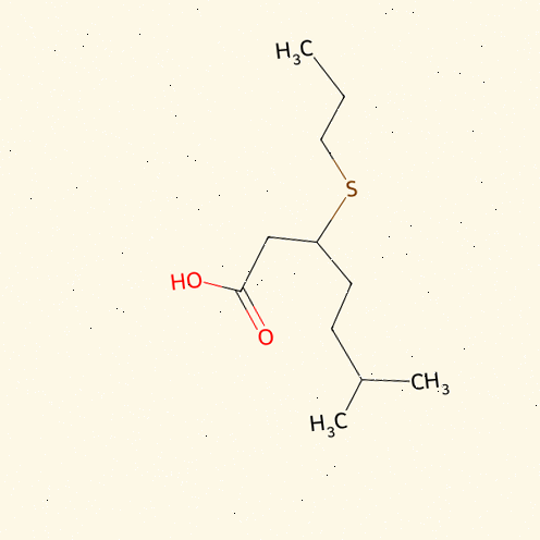 CCCSC(CCC(C)C)CC(=O)O